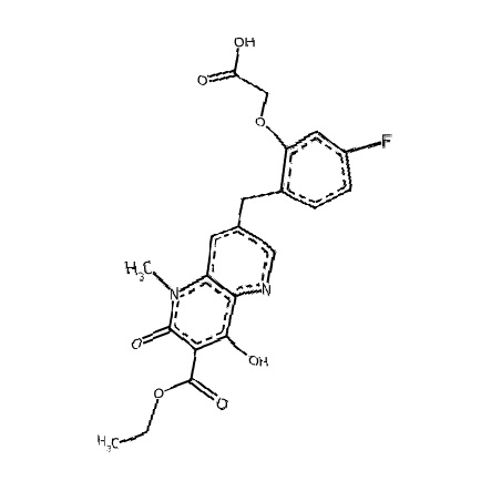 CCOC(=O)c1c(O)c2ncc(Cc3ccc(F)cc3OCC(=O)O)cc2n(C)c1=O